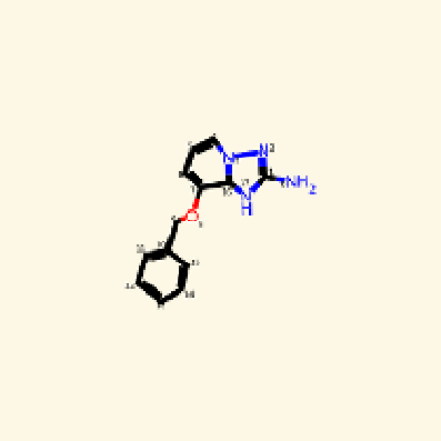 NC1=NN2C=CC=C(OCc3ccccc3)C2N1